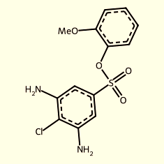 COc1ccccc1OS(=O)(=O)c1cc(N)c(Cl)c(N)c1